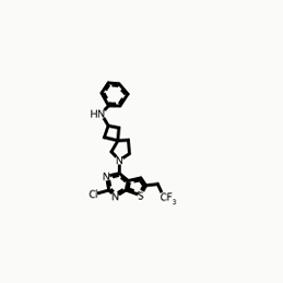 FC(F)(F)Cc1cc2c(N3CCC4(CC(Nc5ccccc5)C4)C3)nc(Cl)nc2s1